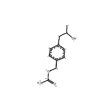 CC(O)Cc1ccc(COC(N)=O)cc1